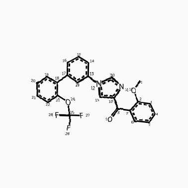 COc1ccccc1C(=O)c1cn(-c2cccc(-c3ccccc3OC(F)(F)F)c2)cn1